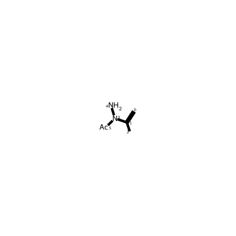 C=C(C)N(N)C(C)=O